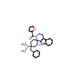 CN(C)C1(Cc2ccccc2)CCC2(CC1)c1[nH]c3ccccc3c1CCN2C(=O)c1ccco1